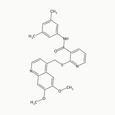 COc1cc2nccc(CSc3ncccc3C(=O)Nc3cc(C)cc(C)c3)c2cc1OC